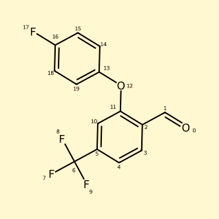 O=Cc1ccc(C(F)(F)F)cc1Oc1ccc(F)cc1